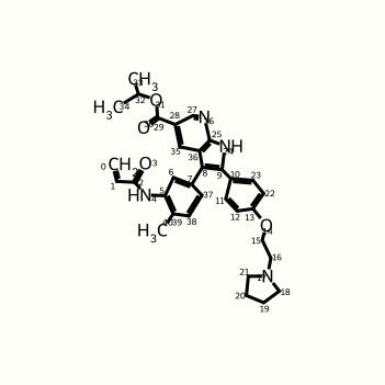 C=CC(=O)Nc1cc(-c2c(-c3ccc(OCCN4CCCC4)cc3)[nH]c3ncc(C(=O)OC(C)C)cc23)ccc1C